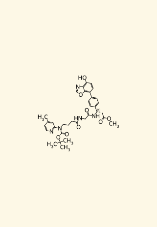 COC(=O)C[C@H](NC(=O)CNC(=O)CCCN(C(=O)OC(C)(C)C)c1cc(C)ccn1)c1ccc(-c2ccc(O)c3ncoc23)cc1